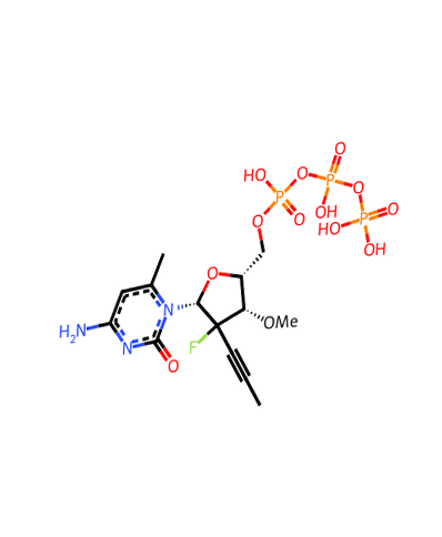 CC#CC1(F)[C@@H](OC)[C@@H](COP(=O)(O)OP(=O)(O)OP(=O)(O)O)O[C@H]1n1c(C)cc(N)nc1=O